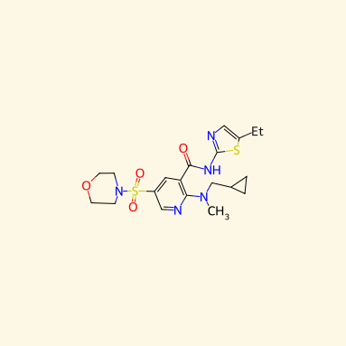 CCc1cnc(NC(=O)c2cc(S(=O)(=O)N3CCOCC3)cnc2N(C)CC2CC2)s1